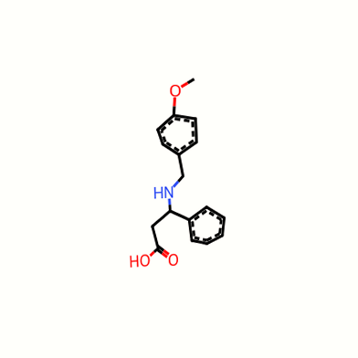 COc1ccc(CNC(CC(=O)O)c2ccccc2)cc1